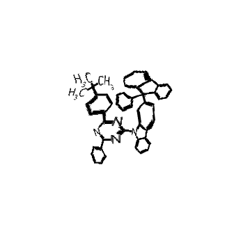 CC(C)(C)c1ccc(-c2nc(-c3ccccc3)nc(-n3c4ccccc4c4ccc(C5(c6ccccc6)c6ccccc6-c6ccccc65)cc43)n2)cc1